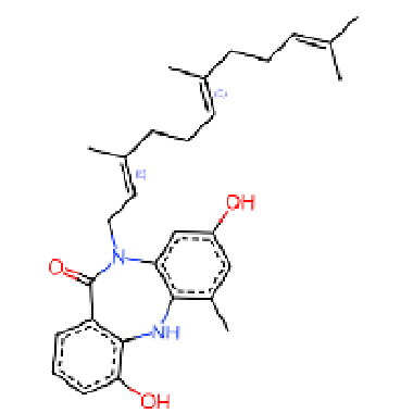 CC(C)=CCC/C(C)=C/CC/C(C)=C/CN1C(=O)c2cccc(O)c2Nc2c(C)cc(O)cc21